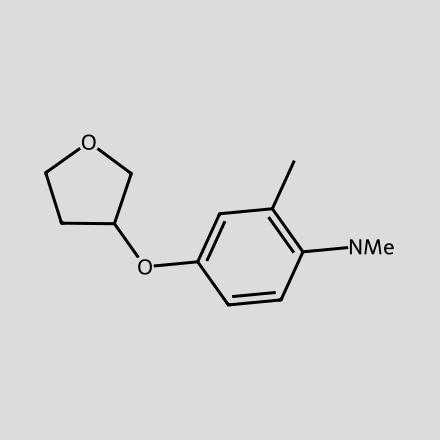 CNc1ccc(OC2CCOC2)cc1C